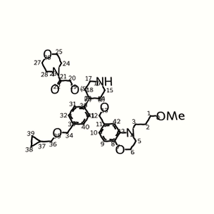 COCCCN1CCOc2ccc(CO[C@H]3CNC[C@@H](OCC(=O)N4CCOCC4)[C@@H]3c3ccc(COCC4CC4)cc3)cc21